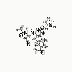 C=C(F)C(=O)N1CCN(c2nc(OC[C@@H]3CCCN3C)nc3c2CCC2(C3)C(F)=C(F)c3c(Cl)cccc32)C[C@@H]1CC#N